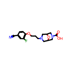 N#Cc1ccc(OCCCN2CC3CN(C(=O)O)CC(C2)O3)c(F)c1